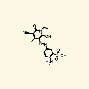 CCn1c(O)c(N=Nc2ccc(N)c(S(=O)(=O)O)c2)c(C)c(C#N)c1=O